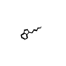 FCC=CCC1C=Cc2cc[c]cc21